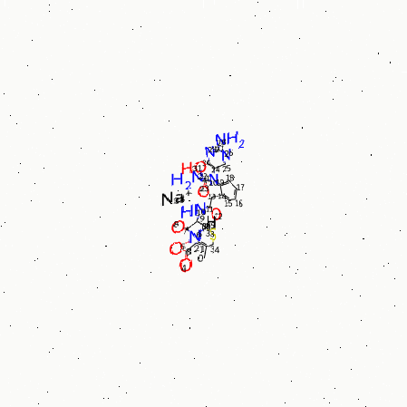 CC1=C(C(=O)[O-])N2C(=O)C(NC(=O)Cc3ccccc3N(C(N)=O)c3cnc(N)nc3O)[C@H]2SC1.[Na+]